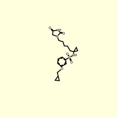 O=C1CN(CCCCCC2(NS(=O)(=O)c3cccc(OCC4CC4)c3)CC2)C(=O)N1